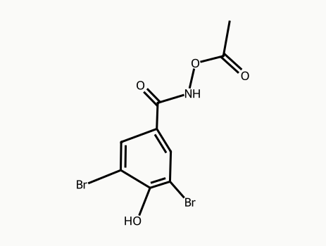 CC(=O)ONC(=O)c1cc(Br)c(O)c(Br)c1